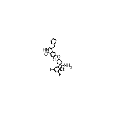 CCC(N)C1(c2cc(F)cc(F)c2)CCC(Oc2cc3c(Cc4ccccc4)c[nH]c(=O)c3cc2Cl)CC1